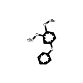 CC(C)(C)Oc1ccc(Sc2ccccc2)cc1OC(C)(C)C